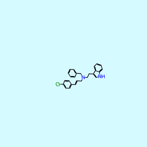 Clc1ccc(C=CCN(CCc2c[nH]c3ccccc23)Cc2ccccc2)cc1